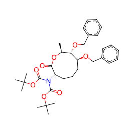 C[C@@H]1OC(=O)[C@@H](N(C(=O)OC(C)(C)C)C(=O)OC(C)(C)C)CCC[C@H](OCc2ccccc2)[C@H]1OCc1ccccc1